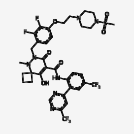 CN1N(Cc2ccc(OCCN3CCN(S(C)(=O)=O)CC3)c(F)c2F)C(=O)C(C(=O)Nc2ccc(C(F)(F)F)cc2-c2cc(C(F)(F)F)ncn2)=C(O)C12CCC2